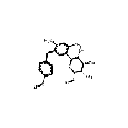 CCOc1ccc(Cc2cc([C@@H]3S[C@H](CO)[C@@H](O)[C@H](O)[C@H]3O)c(C)cc2C)cc1